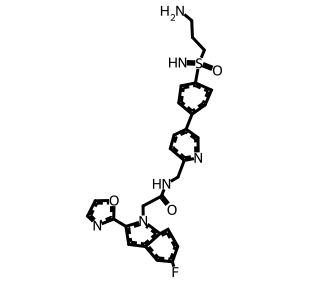 N=S(=O)(CCCN)c1ccc(-c2ccc(CNC(=O)Cn3c(-c4ncco4)cc4cc(F)ccc43)nc2)cc1